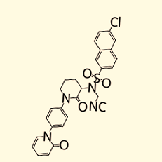 N#CCN(C1CCCN(c2ccc(-n3ccccc3=O)cc2)C1=O)S(=O)(=O)c1ccc2cc(Cl)ccc2c1